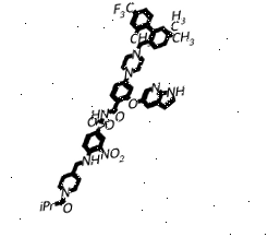 Cc1cc(C(F)(F)F)ccc1C1=C(CN2CCN(c3ccc(C(=O)NS(=O)(=O)c4ccc(NCC5CCN(C(=O)C(C)C)CC5)c([N+](=O)[O-])c4)c(Oc4cnc5[nH]ccc5c4)c3)CC2)CCC(C)(C)C1